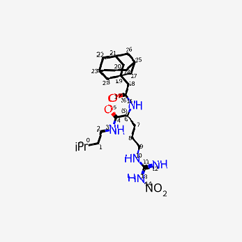 CC(C)C[CH]NC(=O)[C@H](CCCNC(=N)N[N+](=O)[O-])NC(=O)CC12CC3CC(CC(C3)C1)C2